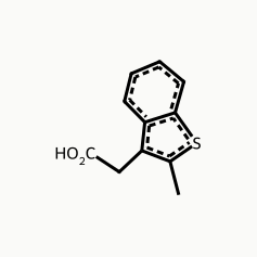 Cc1sc2ccccc2c1CC(=O)O